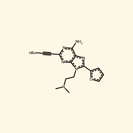 CCCCC#Cc1nc(N)c2nc(-c3ccco3)n(CCN(C)C)c2n1